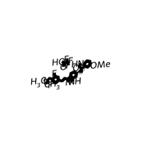 COc1ccc2c(c1)[C@]1(C[C@H]1c1ccc3c(C=Cc4cc(F)c(CN(C)C)c(F)c4)n[nH]c3c1)C(=O)N2.O=C(O)C(F)(F)F